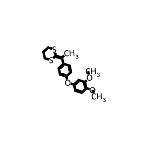 COc1ccc(Oc2ccc(C(C)=C3SCCCS3)cc2)cc1OC